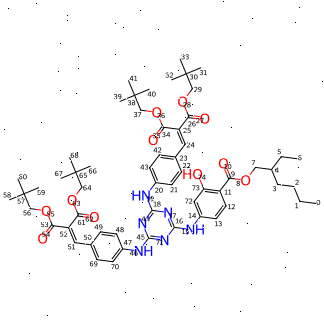 CCCCC(CC)COC(=O)c1ccc(Nc2nc(Nc3ccc(C=C(C(=O)OCC(C)(C)C)C(=O)OCC(C)(C)C)cc3)nc(Nc3ccc(C=C(C(=O)OCC(C)(C)C)C(=O)OCC(C)(C)C)cc3)n2)cc1O